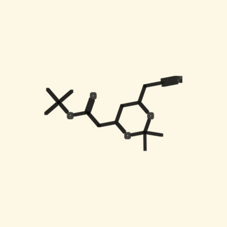 CC(C)(C)OC(=O)CC1CC(CC#N)OC(C)(C)O1